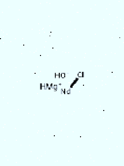 [Cl][Nd].[MgH+].[OH-]